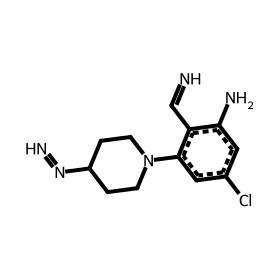 N=Cc1c(N)cc(Cl)cc1N1CCC(N=N)CC1